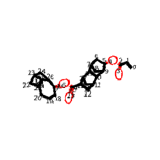 C=CC(=O)OC1CC2CC1C1C3CC(C(=O)OC45CCCC6CC(C4)[C@H]6C5)C(C3)C21